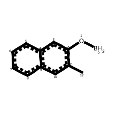 BOc1cc2ccccc2cc1C